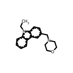 CCn1c2ccccc2c2cc(CN3CCOCC3)ccc21